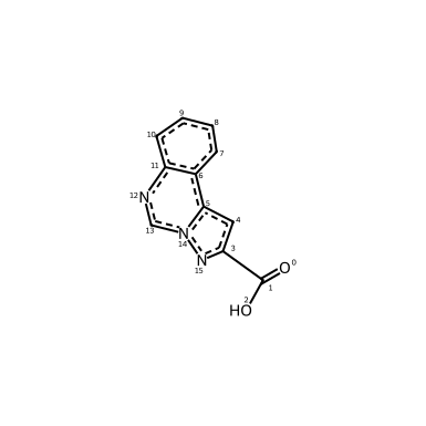 O=C(O)c1cc2c3ccccc3ncn2n1